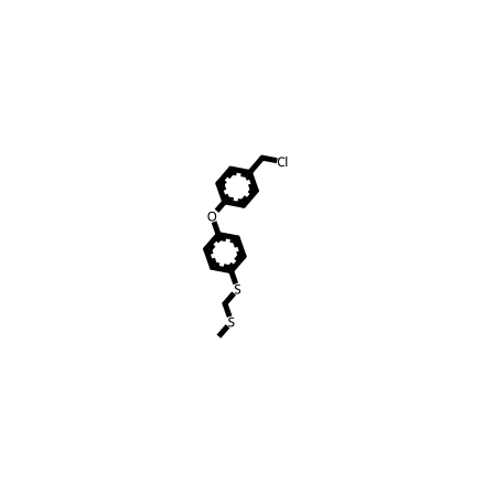 CSCSc1ccc(Oc2ccc(CCl)cc2)cc1